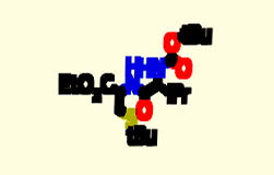 CCOC(=O)[C@H](CSC(C)(C)C)NC(=O)[C@@H](NC(=O)OC(C)(C)C)C(C)C